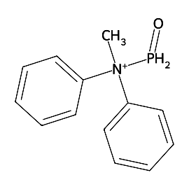 C[N+]([PH2]=O)(c1ccccc1)c1ccccc1